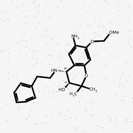 COCOc1cc2c(cc1N)[C@@H](NCCc1ccccc1)[C@H](O)C(C)(C)O2